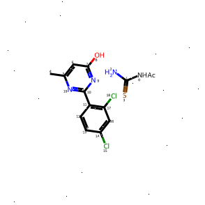 CC(=O)NC(N)=S.Cc1cc(O)nc(-c2ccc(Cl)cc2Cl)n1